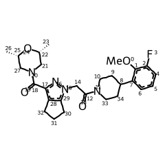 COc1c(F)cccc1C1CCN(C(=O)Cn2nc(C(=O)N3C[C@@H](C)O[C@@H](C)C3)c3c2CCC3)CC1